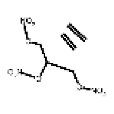 C=C.C=C.O=[N+]([O-])OCC(CO[N+](=O)[O-])O[N+](=O)[O-]